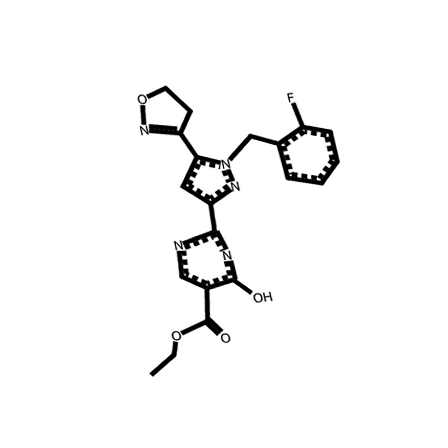 CCOC(=O)c1cnc(-c2cc(C3=NOCC3)n(Cc3ccccc3F)n2)nc1O